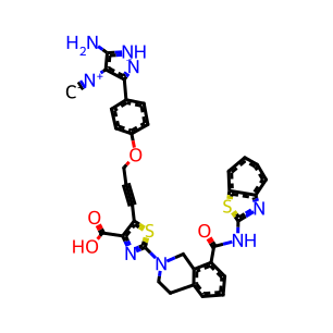 [C-]#[N+]c1c(-c2ccc(OCC#Cc3sc(N4CCc5cccc(C(=O)Nc6nc7ccccc7s6)c5C4)nc3C(=O)O)cc2)n[nH]c1N